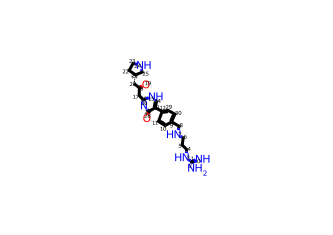 N=C(N)NCCCNCc1ccc(-c2c[nH]c(CC(=O)C[C@@H]3CCNC3)nc2=O)cc1